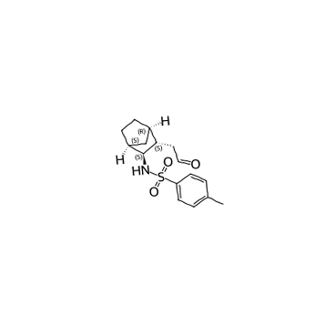 Cc1ccc(S(=O)(=O)N[C@H]2[C@H]3CC[C@H](C3)[C@@H]2CC=O)cc1